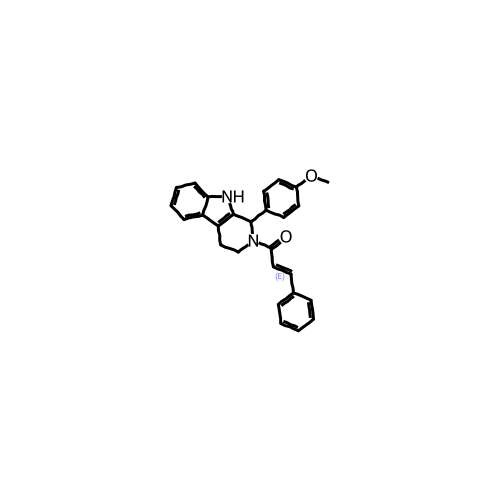 COc1ccc(C2c3[nH]c4ccccc4c3CCN2C(=O)/C=C/c2ccccc2)cc1